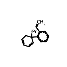 C=Cc1ccccc1C1(C(C)C)C=CC=CC1